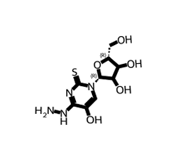 NNc1nc(=S)n([C@@H]2O[C@H](CO)C(O)C2O)cc1O